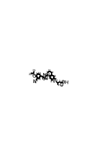 CC(CC(=O)O)NCc1ccc2c(c1)CCCN2c1noc(-c2ccc(OC(C)C)c(C#N)c2)n1